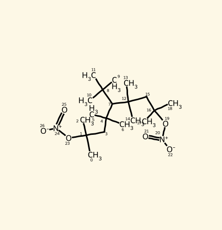 CC(C)(CC(C)(C)C(C(C)(C)C)C(C)(C)CC(C)(C)O[N+](=O)[O-])O[N+](=O)[O-]